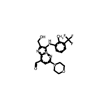 Cc1c(Nc2c(CO)nc3c(C=O)cc(N4CCOCC4)nn23)cccc1C(F)(F)F